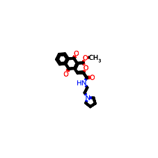 COC1OC(C(=O)NCCN2CCCC2)=CC2=C1C(=O)c1ccccc1C2=O